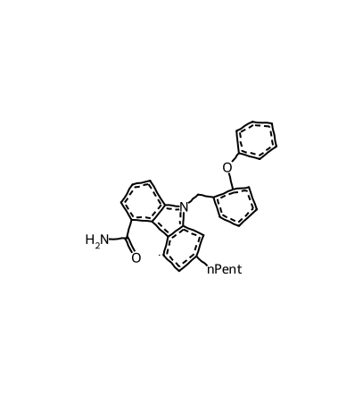 CCCCCc1c[c]c2c3c(C(N)=O)cccc3n(Cc3ccccc3Oc3ccccc3)c2c1